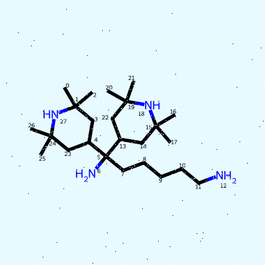 CC1(C)CC(C(N)(CCCCCN)C2CC(C)(C)NC(C)(C)C2)CC(C)(C)N1